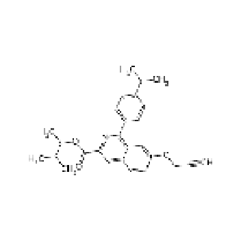 C#CCOc1ccc2cc(C(=O)OC(C)C(C)C)nc(-c3ccc(C(C)C)cc3)c2c1